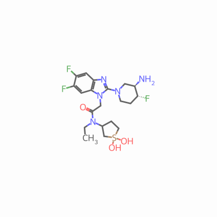 CCN(C(=O)Cn1c(N2CC[C@@H](F)[C@H](N)C2)nc2cc(F)c(F)cc21)C1CCS(O)(O)C1